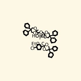 CC1(C(=O)O)OCC(c2ccccc2)(c2ccccc2)CO1.CCOC(=O)C1(c2ccc(Cl)cc2)OCC(c2ccccc2)(c2ccccc2)CO1.COC(=O)C1(C)OCC(c2ccccc2)(c2ccccc2)CO1